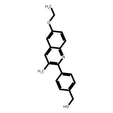 CCOc1ccc2nc(-c3ccc(CO)cc3)c(C)cc2c1